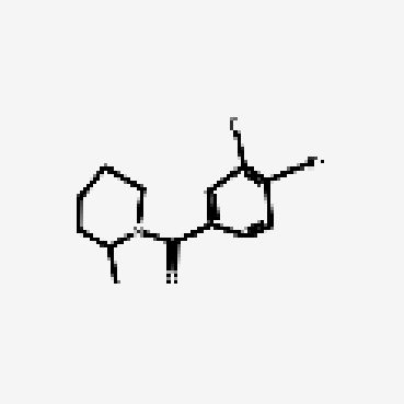 CC(C)c1ccc(C(=O)N2CCCCC2C)cc1F